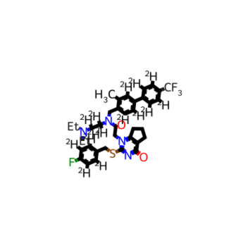 [2H]c1c([2H])c(CSc2nc(=O)c3c(n2CC(=O)N(Cc2c([2H])c([2H])c(-c4c([2H])c([2H])c(C(F)(F)F)c([2H])c4[2H])c([2H])c2C)C([2H])([2H])C([2H])([2H])N(CC)CC)CCC3)c([2H])c([2H])c1F